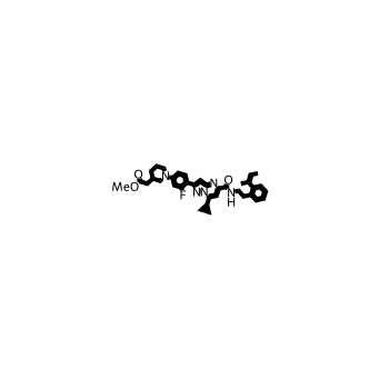 C/C=C(/C)c1ccccc1CCNC(=O)c1cc(C2CC2)n2nc(-c3ccc(N4CCCC(CC(=O)OC)C4)cc3F)cc2n1